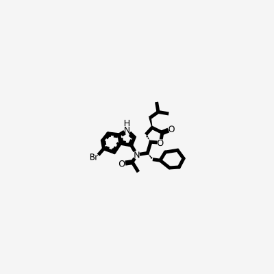 CC(=O)N(c1c[nH]c2ccc(Br)cc12)[C@@H](CC1CCCCC1)[C@@H]1C[C@@H](CC(C)C)C(=O)O1